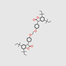 CCC(C)(C)c1cc2c(c(C(C)(C)CC)c1)OC(=O)C2c1ccc(OCCOc2ccc(C3C(=O)Oc4c3cc(C(C)(C)CC)cc4C(C)(C)CC)cc2)cc1